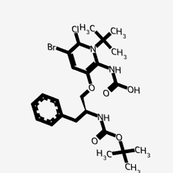 CC(C)(C)OC(=O)N[C@H](COC1=C(NC(=O)O)N(C(C)(C)C)C(Cl)C(Br)=C1)Cc1ccccc1